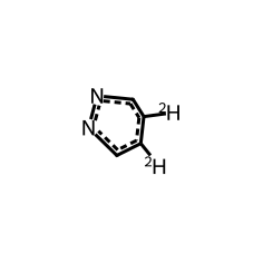 [2H]c1cnncc1[2H]